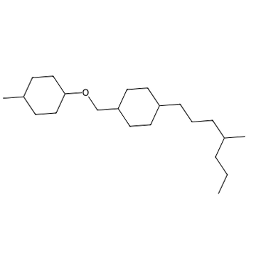 CCCC(C)CCCC1CCC(COC2CCC(C)CC2)CC1